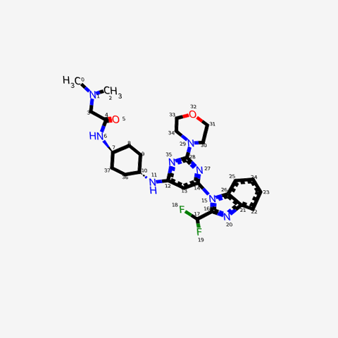 CN(C)CC(=O)N[C@H]1CC[C@H](Nc2cc(-n3c(C(F)F)nc4ccccc43)nc(N3CCOCC3)n2)CC1